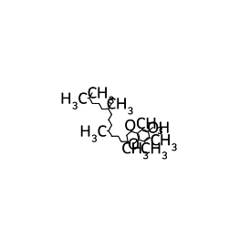 Cc1c(C)c2c(c(C)c1O)C(=O)CC(C)(CCCC(C)CCCC(C)CCCC(C)C)O2